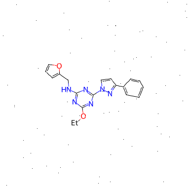 CCOc1nc(NCc2ccco2)nc(-n2ccc(-c3ccccc3)n2)n1